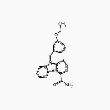 CCOc1cccc(Cn2c3ccc[c]c3c3c(C(N)=O)cccc32)c1